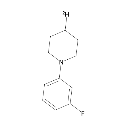 [2H]C1CCN(c2cccc(F)c2)CC1